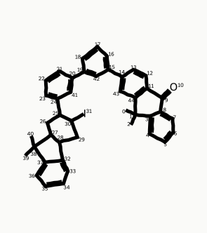 CC1(C)c2ccccc2C(=O)c2ccc(-c3cccc(-c4cccc(C5CC6C(CC5I)c5ccccc5C6(C)C)c4)c3)cc21